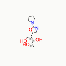 C[C@@H](O)[C@H](O)[C@@H](CO)C1CN=C(N2CCCC2)O1